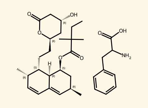 CCC(C)(C)C(=O)O[C@H]1C[C@@H](C)C=C2C=C[C@H](C)[C@H](CC[C@@H]3C[C@@H](O)CC(=O)O3)[C@H]21.NC(Cc1ccccc1)C(=O)O